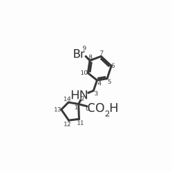 O=C(O)C1(NCc2cccc(Br)c2)CCCC1